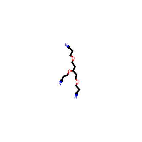 N#CCCOCCC(CCOCCC#N)OCCC#N